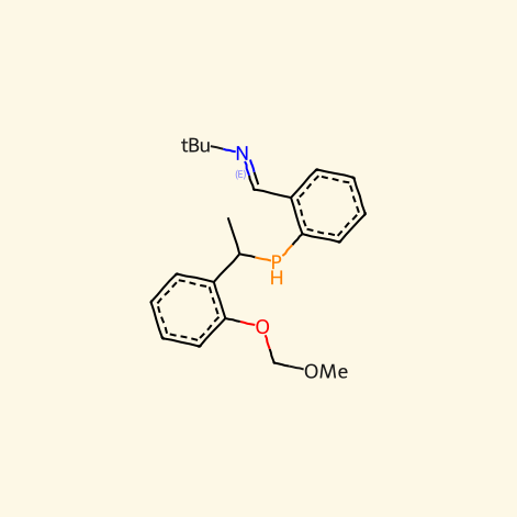 COCOc1ccccc1C(C)Pc1ccccc1/C=N/C(C)(C)C